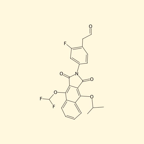 CC(C)Oc1c2c(c(OC(F)F)c3ccccc13)C(=O)N(c1ccc(CC=O)c(F)c1)C2=O